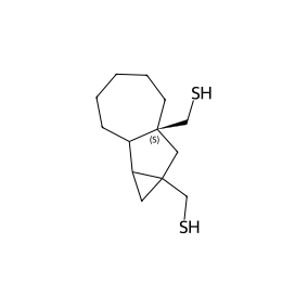 SCC12CC1C1CCCCC[C@]1(CS)C2